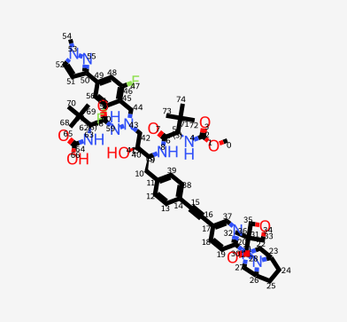 COC(=O)N[C@H](C(=O)N[C@@H](Cc1ccc(C#Cc2ccc(N3CC4CCC(C3)N4C(=O)C3(C)COC3)nc2)cc1)[C@@H](O)CN(Cc1c(F)cc(-c2ccn(C)n2)cc1F)NC(=O)[C@@H](NC(=O)O)C(C)(C)C)C(C)(C)C